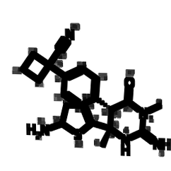 CN1C(=N)N[C@](C)(C2=CCC(N)S2)[C@H](c2ccc(C3(C#N)CCC3)cc2)C1=O